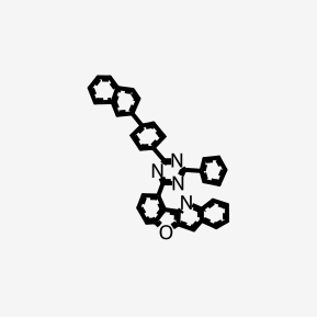 c1ccc(-c2nc(-c3ccc(-c4ccc5ccccc5c4)cc3)nc(-c3cccc4oc5cc6ccccc6nc5c34)n2)cc1